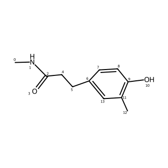 CNC(=O)CCc1ccc(O)c(C)c1